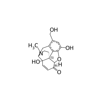 CN1CC[C@]23c4c5c(CO)cc(O)c4O[C@H]2C(=O)C=CC3(O)C1C5